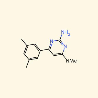 CNc1cc(-c2cc(C)cc(C)c2)nc(N)n1